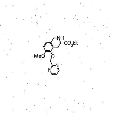 CCOC(=O)[C@@H]1Cc2c(ccc(OC)c2OCc2ncccn2)CN1